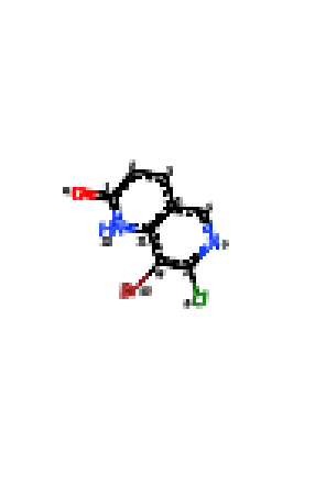 O=c1ccc2cnc(Cl)c(Br)c2[nH]1